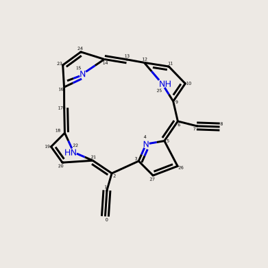 C#Cc1c2nc(c(C#C)c3ccc(cc4nc(cc5ccc1[nH]5)C=C4)[nH]3)C=C2